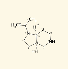 CC(C)N1CC[C@@H]2CNCC[C@@H]21